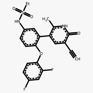 C#Cc1cc(-c2cc(NS(=O)(=O)CC)ccc2Oc2ccc(F)cc2F)c(C)[nH]c1=O